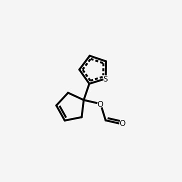 O=COC1(c2cccs2)CC=CC1